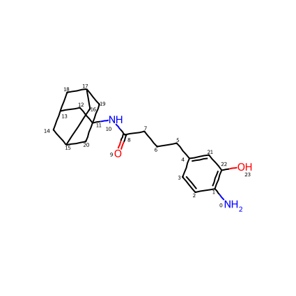 Nc1ccc(CCCC(=O)NC23CC4CC(CC(C4)C2)C3)cc1O